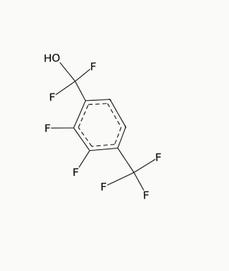 OC(F)(F)c1ccc(C(F)(F)F)c(F)c1F